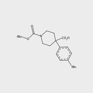 CC(C)(C)OC(=O)N1CCC(C(=O)O)(c2ccc(C(C)(C)C)cc2)CC1